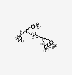 Cn1c(NCCN(CCCOC(=O)C(=O)OCCCN(CCCc2ccc([N+](=O)[O-])cc2)CCNc2cc(=O)n(C)c(=O)n2C)CCCc2ccc([N+](=O)[O-])cc2)cc(=O)n(C)c1=O